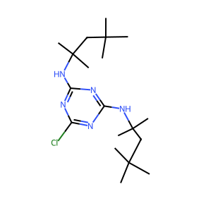 CC(C)(C)CC(C)(C)Nc1nc(Cl)nc(NC(C)(C)CC(C)(C)C)n1